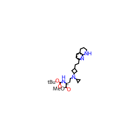 COC(=O)[C@H](CCN(C1CC1)C1CC(CCc2ccc3c(n2)NCCC3)C1)NC(=O)OC(C)(C)C